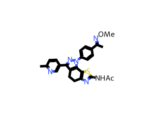 CO/N=C(\C)c1ccc(-n2nc(-c3ccc(C)nc3)c3c2-c2sc(NC(C)=O)nc2CC3)cc1